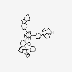 c1ccc2c(c1)Oc1c(-c3nc(-c4ccc(C56CC[C@H](CC7CC(C7)C5)C6)cc4)nc(-c4ccc5sc6ccccc6c5c4)n3)cccc1C21c2ccccc2-c2ccccc21